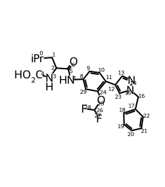 CC(C)CC(NC(=O)O)C(=O)Nc1ccc(-c2cnn(Cc3ccccc3)c2)c(OC(F)F)c1